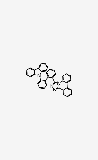 c1ccc(-c2nnc3c4ccccc4c4ccccc4n23)c(-c2ccccc2-n2c3ccccc3c3ccccc32)c1